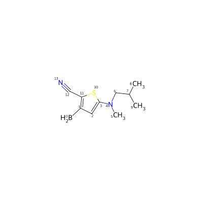 Bc1cc(N(C)CC(C)C)sc1C#N